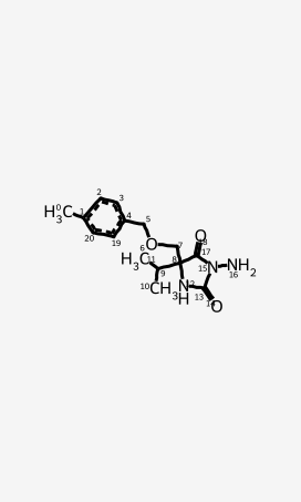 Cc1ccc(COCC2(C(C)C)NC(=O)N(N)C2=O)cc1